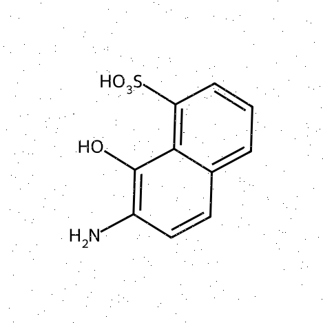 Nc1ccc2cccc(S(=O)(=O)O)c2c1O